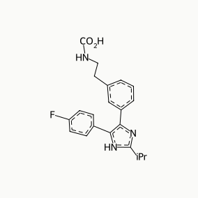 CC(C)c1nc(-c2cccc(CCNC(=O)O)c2)c(-c2ccc(F)cc2)[nH]1